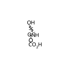 CC(CSSCCO)NC(=O)c1ccc(C(=O)O)cc1